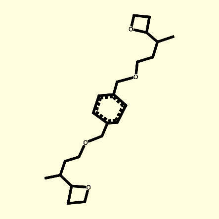 CC(CCOCc1ccc(COCCC(C)C2CCO2)cc1)C1CCO1